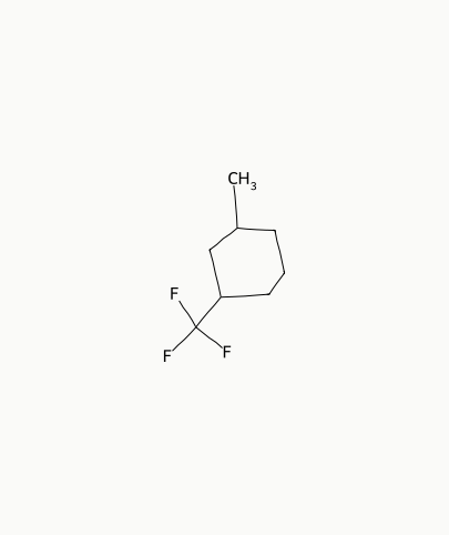 CC1CCCC(C(F)(F)F)C1